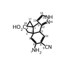 CC1(C2(CC(=O)O)C=C(N)C(C#N)=CC2c2cc[nH]n2)CC1